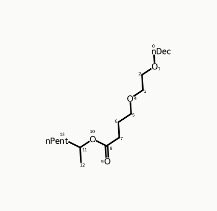 CCCCCCCCCCOCCOCCCC(=O)OC(C)CCCCC